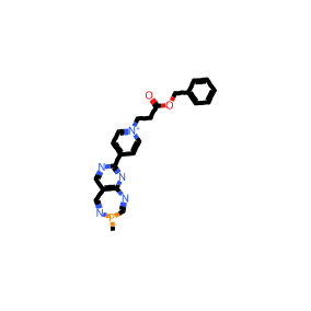 CP1C=Nc2nc(-c3cc[n+](CCC(=O)OCc4ccccc4)cc3)ncc2C=N1